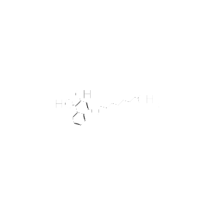 CCCCCCCCOc1cc(C)c(O)c2ccccc12